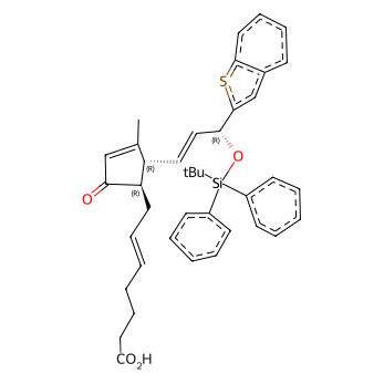 CC1=CC(=O)[C@H](CC=CCCCC(=O)O)[C@H]1C=C[C@@H](O[Si](c1ccccc1)(c1ccccc1)C(C)(C)C)c1cc2ccccc2s1